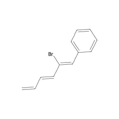 C=CC=CC(Br)=Cc1ccccc1